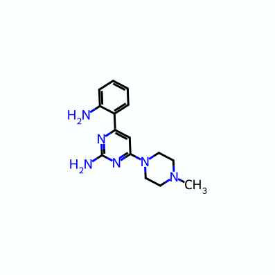 CN1CCN(c2cc(-c3ccccc3N)nc(N)n2)CC1